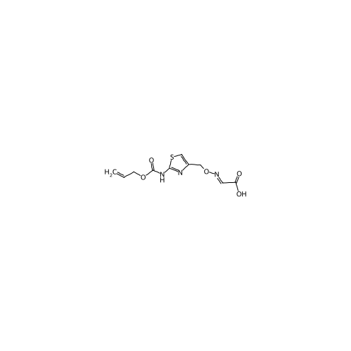 C=CCOC(=O)Nc1nc(CON=CC(=O)O)cs1